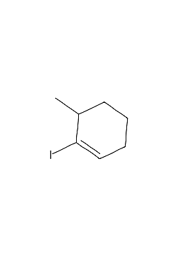 CC1CCCC=C1I